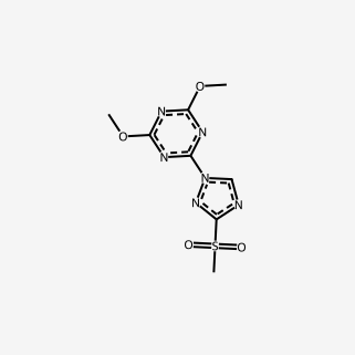 COc1nc(OC)nc(-n2cnc(S(C)(=O)=O)n2)n1